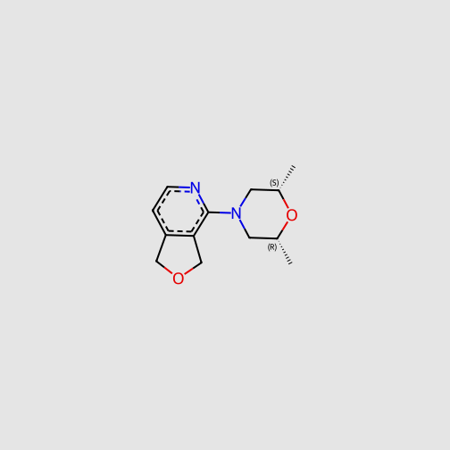 C[C@@H]1CN(c2nccc3c2COC3)C[C@H](C)O1